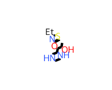 CCc1nc(OC(C(C)O)C2CNCCN2)cs1